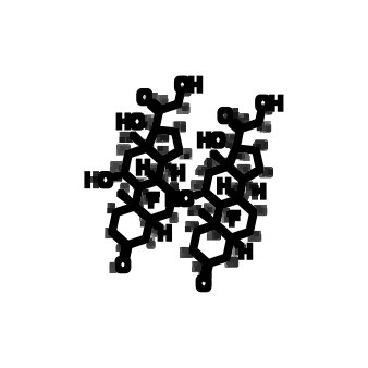 C[C@]12CCC(=O)C[C@H]1CC[C@H]1[C@@H]3CC[C@](O)(C(=O)CO)[C@@]3(C)C[C@H](O)[C@@]12F.C[C@]12CCC(=O)C[C@H]1CC[C@H]1[C@@H]3CC[C@](O)(C(=O)CO)[C@@]3(C)C[C@H](O)[C@@]12F